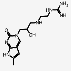 Cc1cc2cn(CC(O)CNCCNC(=N)N)c(=O)nc2[nH]1